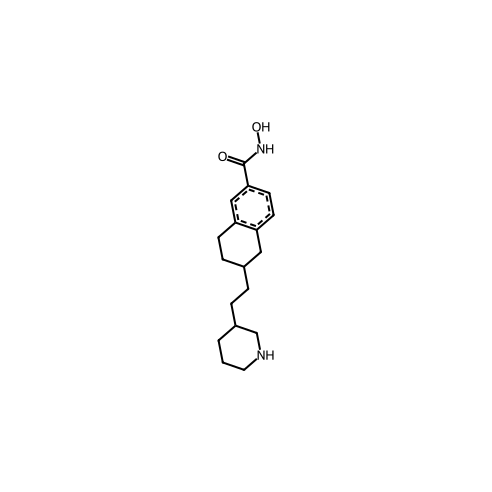 O=C(NO)c1ccc2c(c1)CCC(CCC1CCCNC1)C2